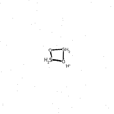 O1[SiH2]O[SiH2]1.[H+]